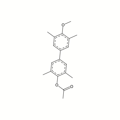 COc1c(C)cc(-c2cc(C)c(OC(C)=O)c(C)c2)cc1C